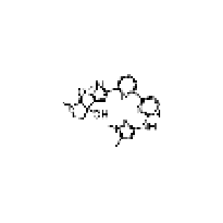 Cc1cc(Nc2nccc(-c3cccc(-c4cc(C5(O)CCN(C)C5=O)on4)n3)n2)nn1C